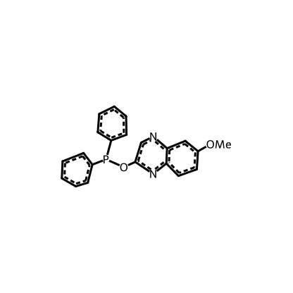 COc1ccc2nc(OP(c3ccccc3)c3ccccc3)cnc2c1